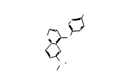 C[S+]([O-])c1ccc2nccc(Nc3ccc(Cl)cc3)c2c1